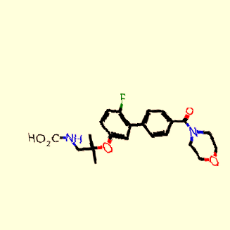 CC(C)(CNC(=O)O)Oc1ccc(F)c(-c2ccc(C(=O)N3CCOCC3)cc2)c1